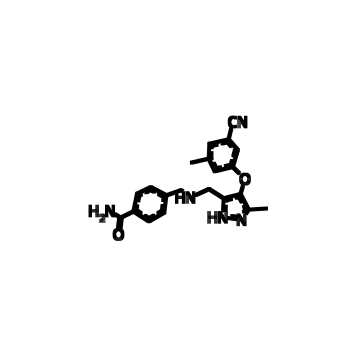 Cc1cc(C#N)cc(Oc2c(C)n[nH]c2CNCc2ccc(C(N)=O)cc2)c1